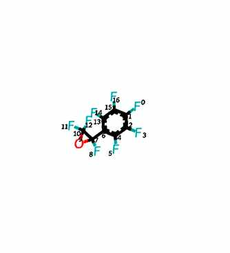 Fc1c(F)c(F)c(C2(F)OC2(F)F)c(F)c1F